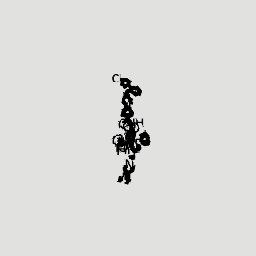 CCN(CC)C1CCN(CC[C@H](CSc2ccccc2)Nc2ccc(S(=O)(=O)NC(=O)c3ccc(N4CCN(Cc5ccccc5-c5ccc(Cl)cc5)CC4)cc3)cc2[N+](=O)[O-])CC1